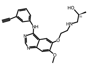 C#Cc1cccc(Nc2ncnc3cc(OC)c(OCCNC[C@H](C)O)cc23)c1